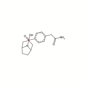 NC(=O)Cc1ccc(C(=O)N2C3CCC2CC(O)C3)cc1